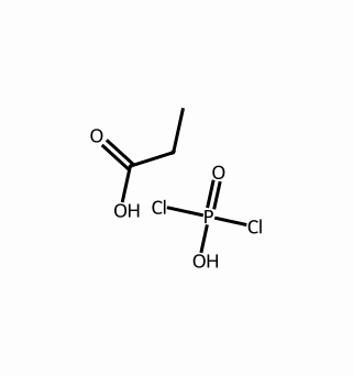 CCC(=O)O.O=P(O)(Cl)Cl